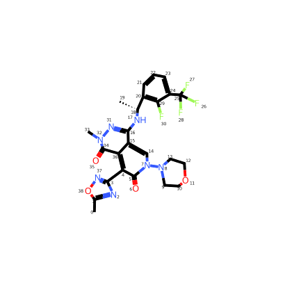 Cc1nc(-c2c(=O)n(N3CCOCC3)cc3c(N[C@H](C)c4cccc(C(F)(F)F)c4F)nn(C)c(=O)c23)no1